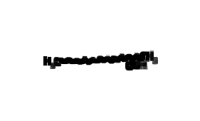 CCC=CCC=CCC=CCC=CCC=CCC=CCC(CCC)C(=O)O